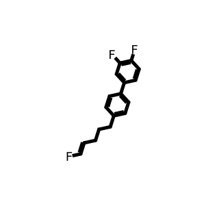 FC=CCCCc1ccc(-c2ccc(F)c(F)c2)cc1